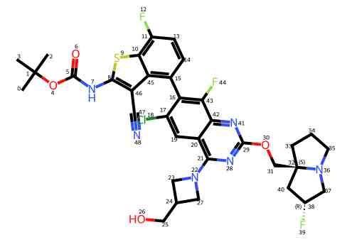 CC(C)(C)OC(=O)Nc1sc2c(F)ccc(-c3c(Cl)cc4c(N5CC(CO)C5)nc(OC[C@@]56CCCN5C[C@H](F)C6)nc4c3F)c2c1C#N